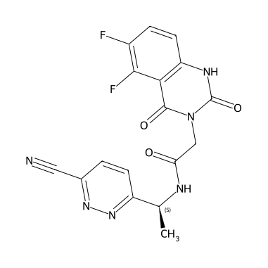 C[C@H](NC(=O)Cn1c(=O)[nH]c2ccc(F)c(F)c2c1=O)c1ccc(C#N)nn1